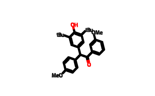 COc1ccc(C(C(=O)c2cccc(OC)c2)c2cc(C(C)(C)C)c(O)c(C(C)(C)C)c2)cc1